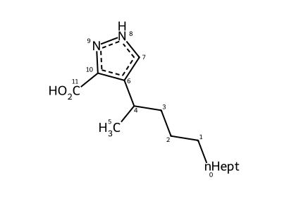 CCCCCCCCCCC(C)c1c[nH]nc1C(=O)O